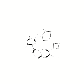 COc1cc2ncc(-c3nc(N[C@H]4CNCC[C@@H]4F)c(F)cc3F)n2nc1C1CCC1